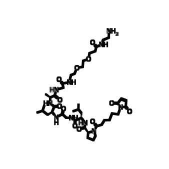 CC(C)C[C@H](NC(=O)CNC(=O)[C@H](CC(C)C)NC(=O)[C@@H]1CCCN1C(=O)CCCCCN1C(=O)C=CC1=O)C(=O)N[C@@H](C)C(=O)NCC(=O)NCCOCCOCCC(=O)NCCN